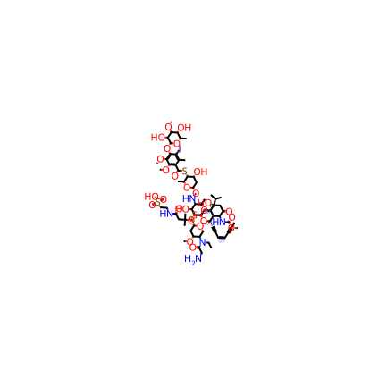 CC#C/C=C\C#C[C@H](OC1OC(C)C(NOC2CC(O)C(SC(=O)c3c(C)c(I)c(OC4OC(C)C(O)C(OC)C4O)c(OC)c3OC)C(C)O2)C(O)C1OC1CC(OC)C(N(CC)C(=O)CN)CO1)C1/C(=C\CSSC(C)(C)CC(=O)NCCS(=O)(=O)O)[C@](O)(C(C)C)CC(=O)C1NC(=O)OC